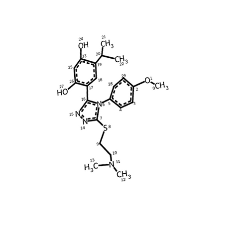 COc1ccc(-n2c(SCCN(C)C)nnc2-c2cc(C(C)C)c(O)cc2O)cc1